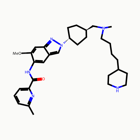 COc1cc2nn([C@H]3CC[C@H](CN(C)CCCCC4CCNCC4)CC3)cc2cc1NC(=O)c1cccc(C)n1